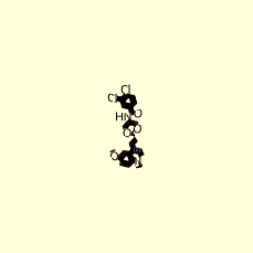 C=Nc1ccc(OC)cc1/C(=C\C)CC[C@H]1OC[C@H](NC(=O)c2ccc(Cl)c(Cl)c2)CO1